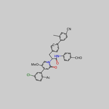 COc1cn(C(Cc2ccc(-c3ccc(C#N)cc3C)cc2)C(=O)Nc2ccc(C=O)cc2)c(=O)cc1-c1cc(Cl)ccc1C(C)=O